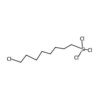 ClCCCCCCCC[Si](Cl)(Cl)Cl